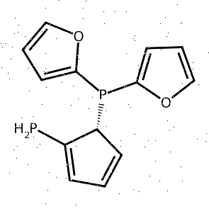 PC1=CC=C[C@H]1P(c1ccco1)c1ccco1